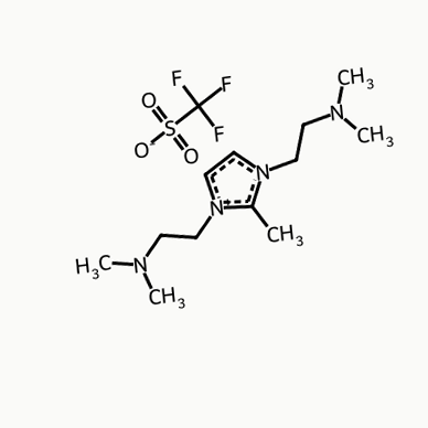 Cc1n(CCN(C)C)cc[n+]1CCN(C)C.O=S(=O)([O-])C(F)(F)F